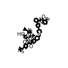 Cc1ncsc1-c1ccc([C@@H](NC(=O)[C@@H]2C[C@@H](O)CN2C(=O)[C@@H](n2cc(C3CC3)nn2)C(C)(C)C)C(=O)N2CCC3(CCC(CN4CCC(c5ccc6c(c5)-n5c(nc(=O)c7c(Br)cccc75)C65CCCCC5)CC4)CC3)CC2)cc1